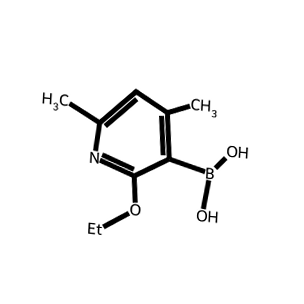 CCOc1nc(C)cc(C)c1B(O)O